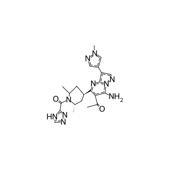 CC(=O)c1c([C@@H]2CC(C)N(C(=O)c3nnc[nH]3)[C@@H](C)C2)nc2c(-c3cnn(C)c3)cnn2c1N